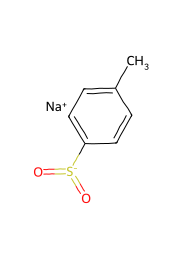 Cc1ccc([S-](=O)=O)cc1.[Na+]